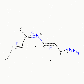 C/C=C/C(C)=N\C=C\CN